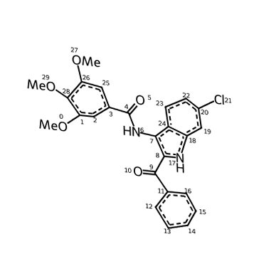 COc1cc(C(=O)Nc2c(C(=O)c3ccccc3)[nH]c3cc(Cl)ccc23)cc(OC)c1OC